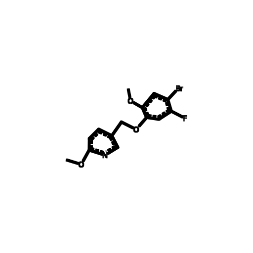 COc1ccc(COc2cc(F)c(Br)cc2OC)cn1